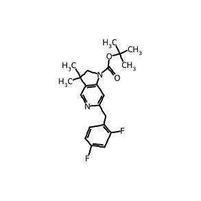 CC(C)(C)OC(=O)N1CC(C)(C)c2cnc(Cc3ccc(F)cc3F)cc21